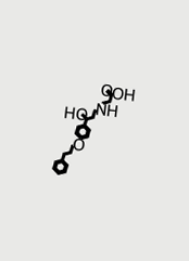 O=C(O)CCNCCC(O)c1ccc(OCCCc2ccccc2)cc1